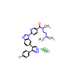 CN(C)CCN(C)C(=O)c1ccc(-n2cnc3ccc(-c4c[nH]nc4-c4ccc(F)cc4)cc32)nc1.Cl.Cl.Cl